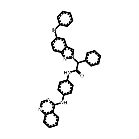 O=C(Nc1ccc(Nc2ncnc3ccccc23)cc1)C(c1ccccc1)n1cc2cc(Nc3ccccc3)ccc2n1